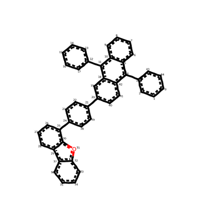 c1ccc(-c2c3ccccc3c(-c3ccccc3)c3cc(-c4ccc(-c5cccc6c5oc5ccccc56)cc4)ccc23)cc1